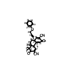 CC1(C)C(=O)C(C#N)=C[C@]2(C)C3=CC(=O)C(C#N)=C[C@@]3(C#CCOc3ccccc3)CC[C@@H]12